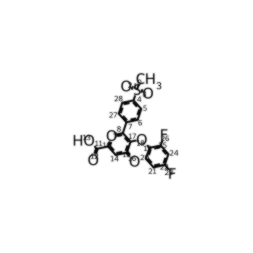 CS(=O)(=O)c1ccc(-c2oc(C(=O)O)cc(=O)c2Oc2ccc(F)cc2F)cc1